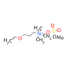 C=COCCC[N+](C)(C)C.COS(=O)(=O)[O-]